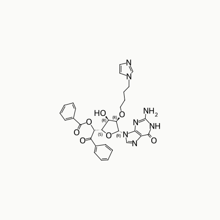 Nc1nc2c(ncn2[C@@H]2O[C@H](C(OC(=O)c3ccccc3)C(=O)c3ccccc3)[C@@H](O)[C@H]2OCCCCn2ccnc2)c(=O)[nH]1